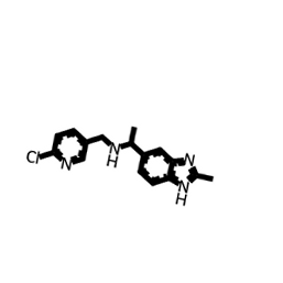 Cc1nc2cc(C(C)NCc3ccc(Cl)nc3)ccc2[nH]1